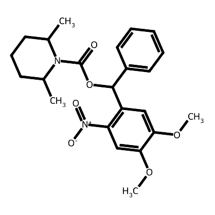 COc1cc(C(OC(=O)N2C(C)CCCC2C)c2ccccc2)c([N+](=O)[O-])cc1OC